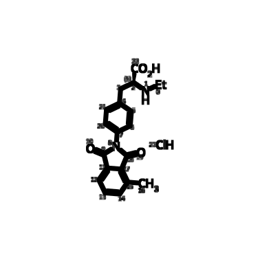 CCN[C@@H](Cc1ccc(N2C(=O)c3cccc(C)c3C2=O)cc1)C(=O)O.Cl